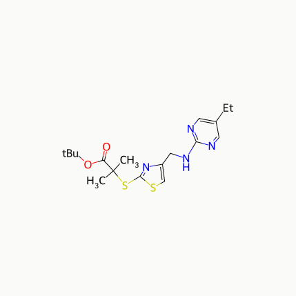 CCc1cnc(NCc2csc(SC(C)(C)C(=O)OC(C)(C)C)n2)nc1